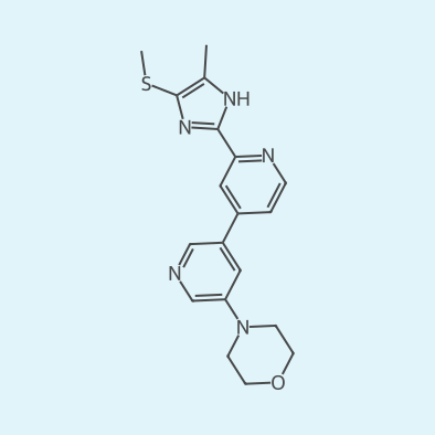 CSc1nc(-c2cc(-c3cncc(N4CCOCC4)c3)ccn2)[nH]c1C